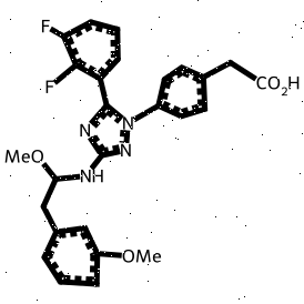 COc1cccc(CC(Nc2nc(-c3cccc(F)c3F)n(-c3ccc(CC(=O)O)cc3)n2)OC)c1